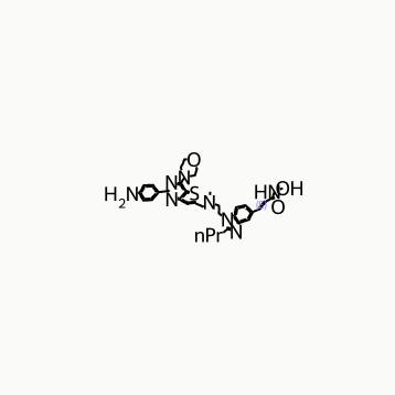 CCCc1nc2cc(/C=C/C(=O)NO)ccc2n1CCN(C)Cc1cc2nc(-c3ccc(N)cc3)nc(N3CCOCC3)c2s1